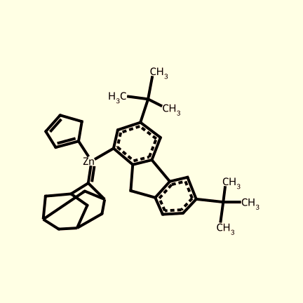 CC(C)(C)c1ccc2c(c1)-c1cc(C(C)(C)C)c[c]([Zn]([C]3=CC=CC3)=[C]3C4CC5CC(C4)CC3C5)c1C2